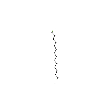 FCCCCCCCCCCCCCCF